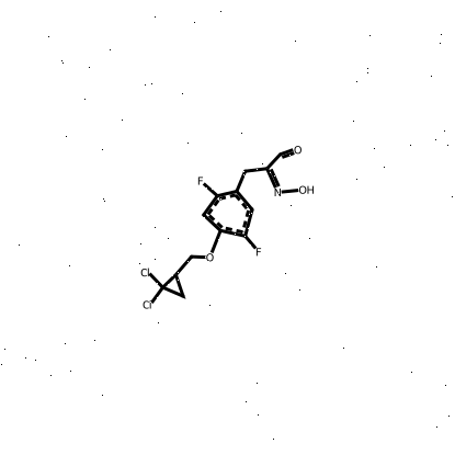 O=CC(Cc1cc(F)c(OCC2CC2(Cl)Cl)cc1F)=NO